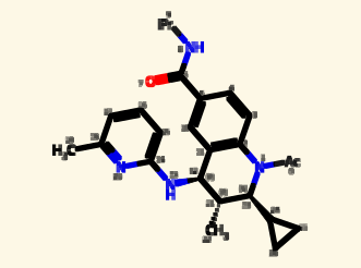 CC(=O)N1c2ccc(C(=O)NC(C)C)cc2[C@H](Nc2cccc(C)n2)[C@@H](C)[C@@H]1C1CC1